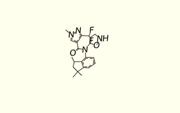 CC1CC(C)(C)c2cccc(N(C(=O)c3cn(C)nc3C(F)F)C3=CCNO3)c21